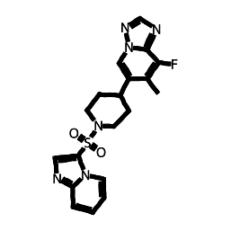 Cc1c(C2CCN(S(=O)(=O)c3cnc4ccccn34)CC2)cn2ncnc2c1F